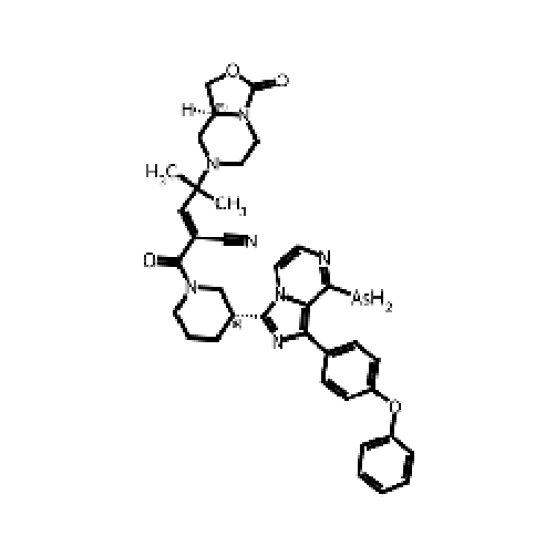 CC(C)(C=C(C#N)C(=O)N1CCC[C@@H](c2nc(-c3ccc(Oc4ccccc4)cc3)c3c([AsH2])nccn23)C1)N1CCN2C(=O)OC[C@@H]2C1